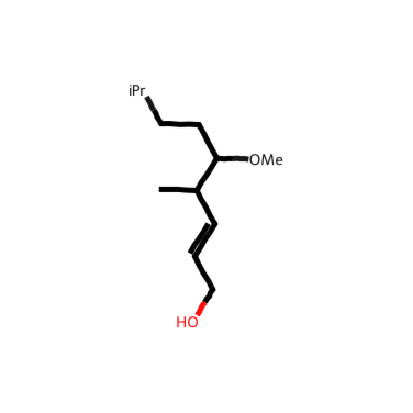 COC(CCC(C)C)C(C)C=CCO